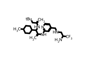 C=C(CC(C)(C)C)NC(C(=C)Nc1cc(CNCC(N)C(F)(F)F)ccn1)C1CCC(C)CC1